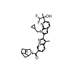 Cc1c(-c2cc3ccc(C(C)(O)C(F)F)nc3n2CC2CC2)nn2cc(C(=O)N3CC4CC5CC3[C@H]54)ccc12